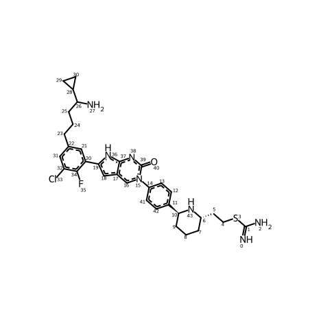 N=C(N)SCC[C@@H]1CCC[C@@H](c2ccc(-n3cc4cc(-c5cc(CCCC(N)C6CC6)cc(Cl)c5F)[nH]c4nc3=O)cc2)N1